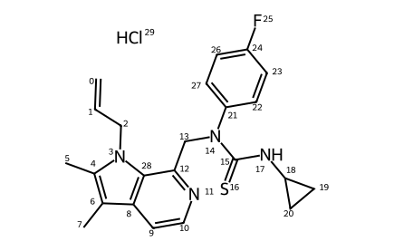 C=CCn1c(C)c(C)c2ccnc(CN(C(=S)NC3CC3)c3ccc(F)cc3)c21.Cl